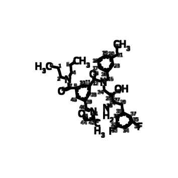 CCCN(CCC)C(=O)c1cc(C(=O)N(Cc2cccc(CC)c2)C[C@@H](O)[C@@H](N)Cc2cc(F)cc(F)c2)cc(-c2nc(C)co2)c1